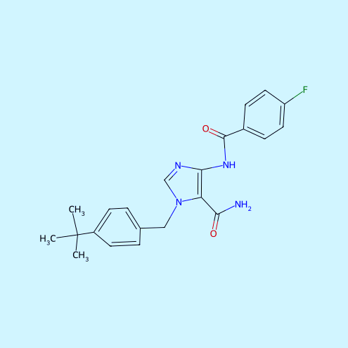 CC(C)(C)c1ccc(Cn2cnc(NC(=O)c3ccc(F)cc3)c2C(N)=O)cc1